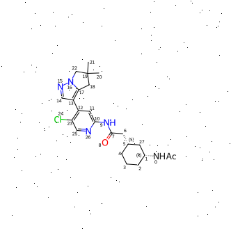 CC(=O)N[C@@H]1CCC[C@H](CC(=O)Nc2cc(-c3cnn4c3CC(C)(C)C4)c(Cl)cn2)C1